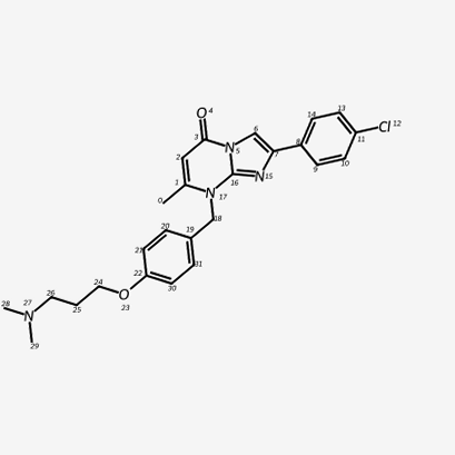 Cc1cc(=O)n2cc(-c3ccc(Cl)cc3)nc2n1Cc1ccc(OCCCN(C)C)cc1